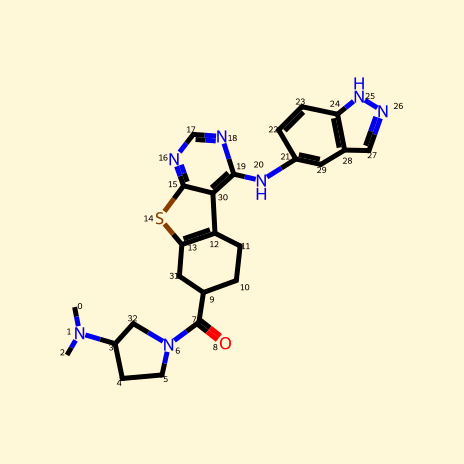 CN(C)C1CCN(C(=O)C2CCc3c(sc4ncnc(Nc5ccc6[nH]ncc6c5)c34)C2)C1